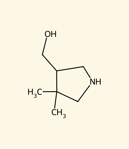 CC1(C)CNCC1CO